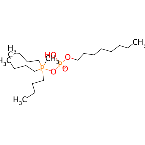 CCCCCCCCOP(=O)(O)OP(C)(CCCC)(CCCC)CCCC